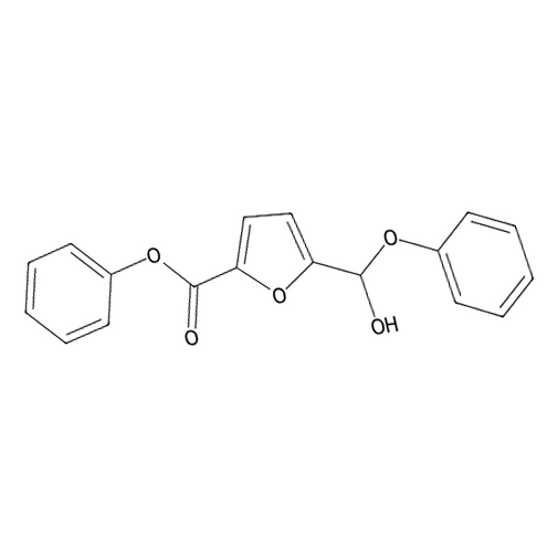 O=C(Oc1ccccc1)c1ccc(C(O)Oc2ccccc2)o1